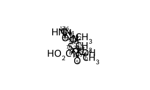 C[C@@H](O)[C@H]1C(=O)N2C(C(=O)O)=C(S[C@H]3C[C@@H](CN4CCNC4=O)N(C)C3)[C@H](C)[C@H]12